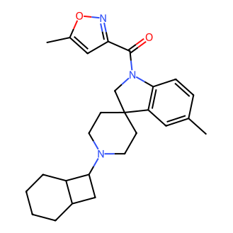 Cc1ccc2c(c1)C1(CCN(C3CC4CCCCC43)CC1)CN2C(=O)c1cc(C)on1